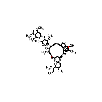 CC[C@H](C)[C@H]1O[C@]2(C=C[C@@H]1C)C[C@@H]1C[C@@H](C/C=C(\C)[C@@H](O[C@H]3C[C@H](OC)[C@@H](O[C@H]4C[C@H](OC)[C@@H](NC)[C@H](C)O4)[C@H](C)O3)[C@@H](C)/C=C/C=C3/CO[C@@H]4[C@H](O)C(C)=C[C@@H](C(=O)O1)[C@]34O)O2